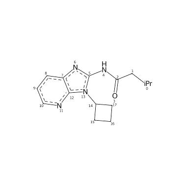 CC(C)CC(=O)Nc1nc2cccnc2n1C1CCC1